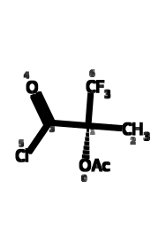 CC(=O)O[C@](C)(C(=O)Cl)C(F)(F)F